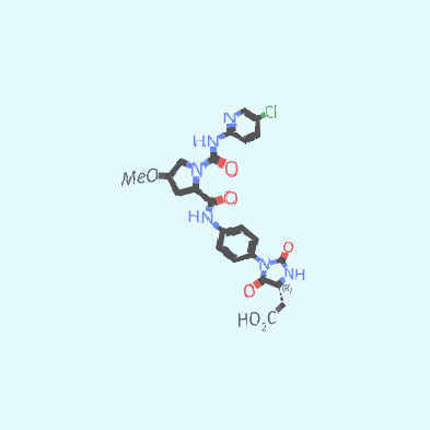 COC1CC(C(=O)Nc2ccc(N3C(=O)N[C@H](CC(=O)O)C3=O)cc2)N(C(=O)Nc2ccc(Cl)cn2)C1